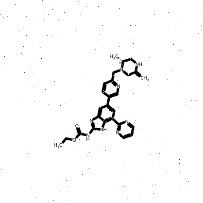 C=C1CN(Cc2ccc(-c3cc(-c4ncccn4)c4[nH]c(NC(=O)OCC)nc4c3)cn2)[C@H](C)CN1